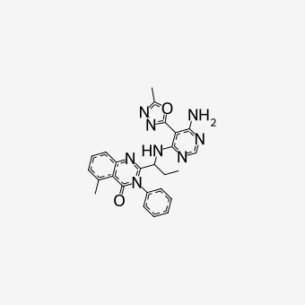 CCC(Nc1ncnc(N)c1-c1nnc(C)o1)c1nc2cccc(C)c2c(=O)n1-c1ccccc1